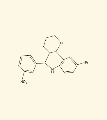 CC(C)c1ccc2c(c1)C1OCCCC1C(c1cccc([N+](=O)[O-])c1)N2